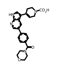 O=C(O)N1CC=C(c2c[nH]c3ncc(-c4ccc(C(=O)N5CCOCC5)cc4)cc23)CC1